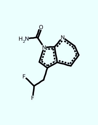 NC(=O)n1cc(CC(F)F)c2cccnc21